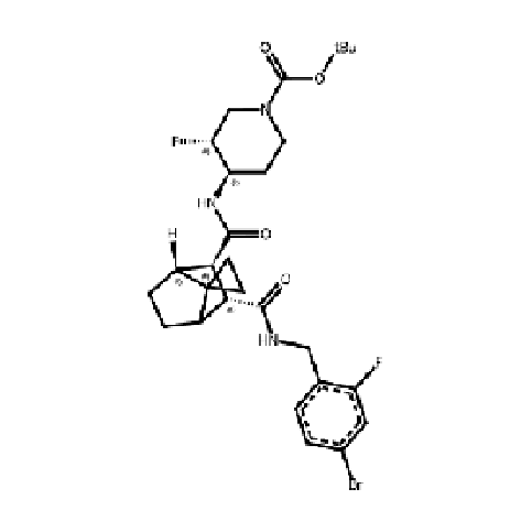 CC(C)(C)OC(=O)N1CC[C@@H](NC(=O)[C@H]2[C@H](C(=O)NCc3ccc(Br)cc3F)C3CC[C@H]2C32CC2)[C@H](F)C1